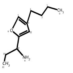 CCCCc1coc(C(N)CC)c1